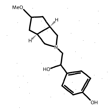 COC1C[C@@H]2CN(CC(O)c3ccc(O)cc3)C[C@@H]2C1